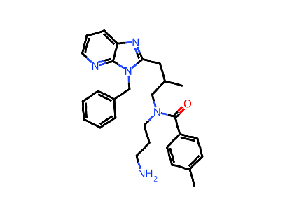 Cc1ccc(C(=O)N(CCCN)CC(C)Cc2nc3cccnc3n2Cc2ccccc2)cc1